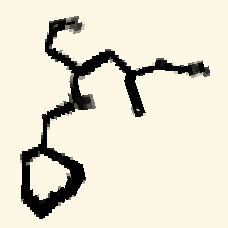 CC/C(=C/C(=O)OC)NCc1ccccc1